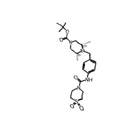 C[C@@H]1CN(C(=O)OC(C)(C)C)C[C@H](C)N1Cc1ccc(NC(=O)N2CCS(=O)(=O)CC2)cc1